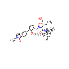 CC[C@@H]1[C@H](CO)ON(Cc2cccc(-c3ccc(C(=O)N(C)C)cc3)c2OC)[C@@H]1C(=O)N[C@H]1C[C@H]2C[C@@H]([C@@H]1C)C2(C)C